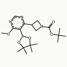 COc1ncnc(C2CN(C(=O)OC(C)(C)C)C2)c1B1OC(C)(C)C(C)(C)O1